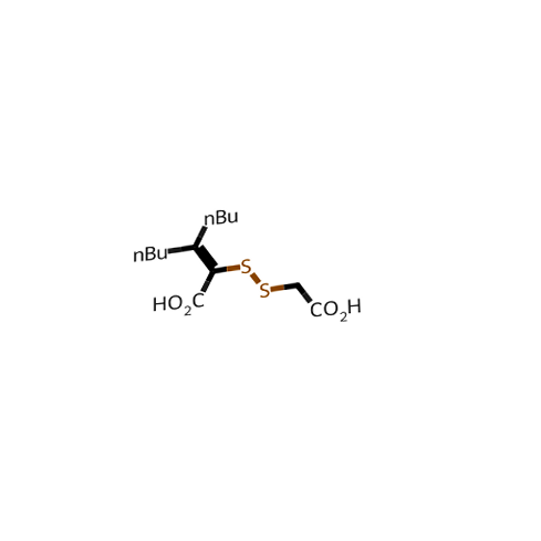 CCCCC(CCCC)=C(SSCC(=O)O)C(=O)O